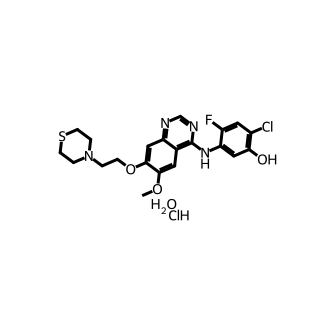 COc1cc2c(Nc3cc(O)c(Cl)cc3F)ncnc2cc1OCCN1CCSCC1.Cl.O